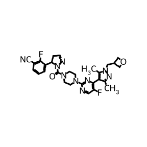 Cc1nn(CC2COC2)c(C)c1-c1nc(N2CCN(C(=O)N3N=CCC3c3cccc(C#N)c3F)CC2)ncc1F